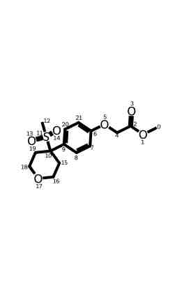 COC(=O)COc1ccc(C2(S(C)(=O)=O)CCOCC2)cc1